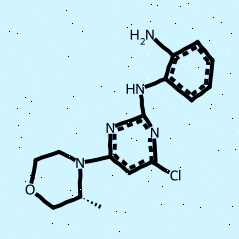 C[C@@H]1COCCN1c1cc(Cl)nc(Nc2ccccc2N)n1